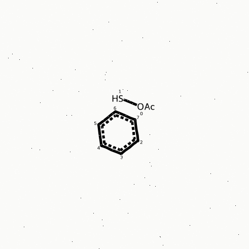 CC(=O)OS.c1ccccc1